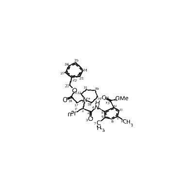 CCCC(C(=O)Nc1c(C)cc(C)cc1C(=O)OC)[N+]1(CC(=O)OCc2ccccc2)CCCCC1